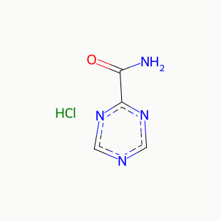 Cl.NC(=O)c1ncncn1